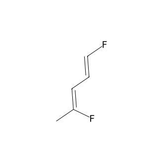 C/C(F)=C/C=C/F